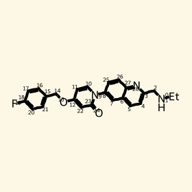 CCNCc1ccc2cc(-n3ccc(OCc4ccc(F)cc4)cc3=O)ccc2n1